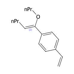 C=Cc1ccc(/C(=C/CCC)OCCC)cc1